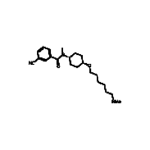 CNCCCCCCO[C@H]1CC[C@H](N(C)C(=O)c2cccc(C#N)c2)CC1